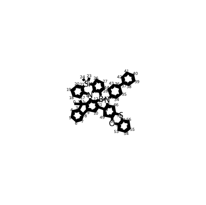 CC1(C)c2ccccc2-c2cc3c4c(c21)N1c2ccccc2[Si](C)(C)c2cccc(c21)B4N(c1ccc(-c2ccccc2)cc1)c1cc2c(cc1-3)Oc1ccccc1S2